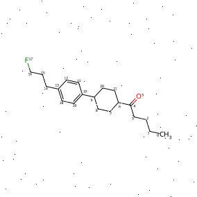 CCCCC(=O)C1CCC(c2ccc(CCCF)cc2)CC1